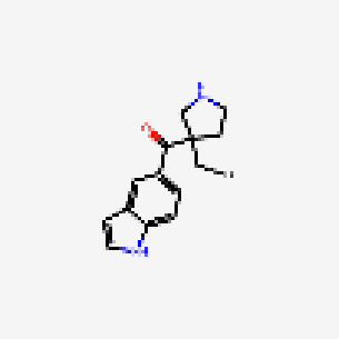 CC(C)CC1(C(=O)c2ccc3[nH]ccc3c2)CCNC1